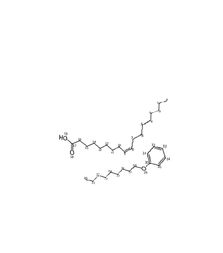 CCCCCCCC/C=C\CCCCCCCC(=O)O.CCCCCCCCCOc1ccccc1